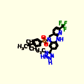 CN1NNN=C1c1ccc2c(c1)N(S(=O)(=O)c1ccc(C(C)(C)C)cc1)Cc1ccc(C(F)(F)F)nc1N2